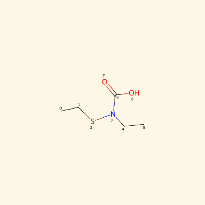 CCSN(CC)C(=O)O